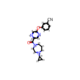 N#Cc1cccc(Oc2cnc(C(=O)N3CCCN(C4CC4)CC3)cn2)c1